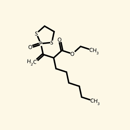 C=C(C(CCCCCC)C(=O)OCC)P1(=O)SCCS1